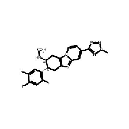 Cn1nnc(-c2ccn3c4c(nc3c2)C[C@H](c2cc(F)c(F)cc2F)[C@@H](NC(=O)O)C4)n1